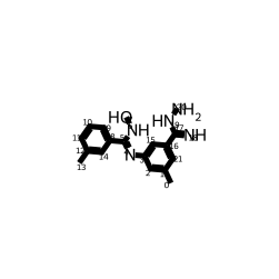 Cc1cc(/N=C(\NO)c2cccc(C)c2)cc(C(=N)NN)c1